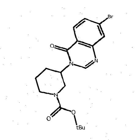 CC(C)(C)OC(=O)N1CCCC(n2cnc3cc(Br)ccc3c2=O)C1